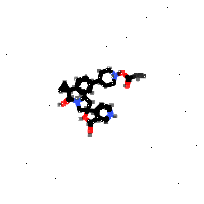 COC(=O)ON1CCC(c2ccc(C3(C(=O)N4CCC5(C4)OC(=O)c4cnccc45)CC3)cc2)CC1